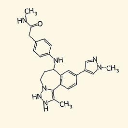 CNC(=O)Cc1ccc(NC2CCN3NNC(C)=C3c3ccc(-c4cnn(C)c4)cc32)cc1